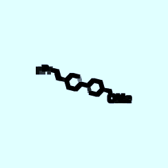 CCCC=C[C@H]1CC[C@H]([C@H]2CC[C@H](COC)CC2)CC1